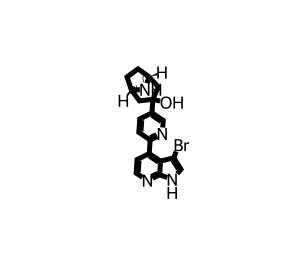 OC1(c2ccc(-c3ccnc4[nH]cc(Br)c34)nc2)C[C@H]2CC[C@@H](C1)N2